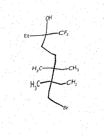 CCC(O)(CCC(C)(C)C(C)(C)CBr)C(F)(F)F